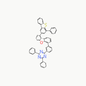 c1ccc(-c2nc(-c3ccccc3)nc(-c3cccc(-c4cccc5c4oc4cccc(-c6cc(-c7ccccc7)c7sc8ccccc8c7c6)c45)c3)n2)cc1